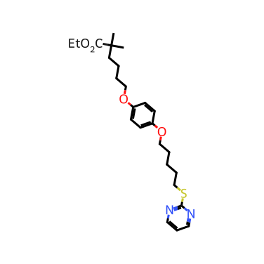 CCOC(=O)C(C)(C)CCCCOc1ccc(OCCCCCSc2ncccn2)cc1